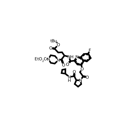 CCOC(=O)N1CCN(C(=O)C(CCC(=O)OC(C)(C)C)NC(=O)c2cc(OCC(=O)N3CCCC3C(=O)NC3CCC3)c3ccc(F)cc3n2)CC1